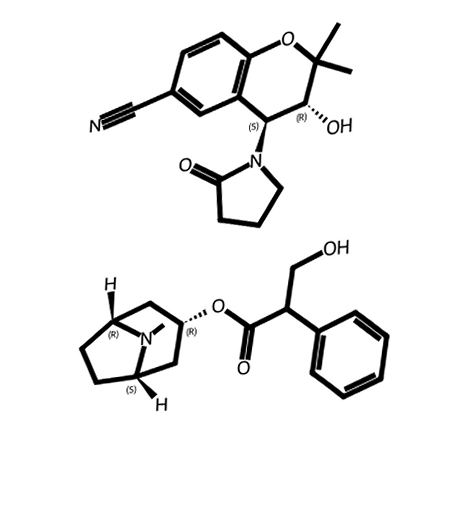 CC1(C)Oc2ccc(C#N)cc2[C@H](N2CCCC2=O)[C@H]1O.CN1[C@@H]2CC[C@H]1C[C@@H](OC(=O)C(CO)c1ccccc1)C2